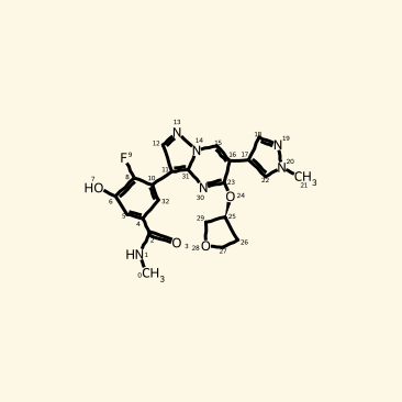 CNC(=O)c1cc(O)c(F)c(-c2cnn3cc(-c4cnn(C)c4)c(O[C@H]4CCOC4)nc23)c1